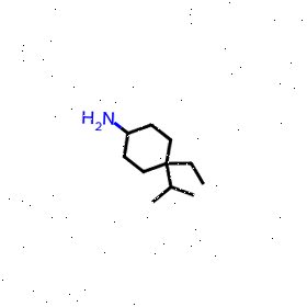 CCC1(C(C)C)CCC(N)CC1